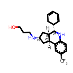 OCCCN[C@H]1C[C@@H]2[C@H](C1)c1cc(C(F)(F)F)ccc1N[C@H]2C1C=CC=CC1